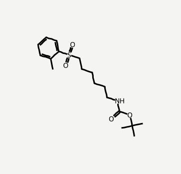 Cc1ccccc1S(=O)(=O)CCCCCCNC(=O)OC(C)(C)C